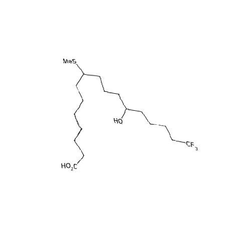 CSC(CCCCCCC(=O)O)CCCC(O)CCCCC(F)(F)F